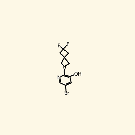 Oc1cc(Br)cnc1N1CC2(C1)CC(F)(F)C2